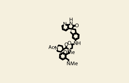 CNCc1ccccc1CN(CC(=O)Nc1ccc2c(c1)C[C@@]1(C2)C(=O)Nc2ncccc21)C(=O)C1(OC)CCN(C(C)=O)CC1